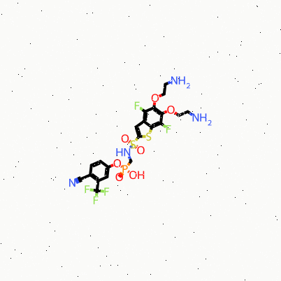 N#Cc1ccc(OP(=O)(O)CNS(=O)(=O)c2cc3c(F)c(OCCN)c(OCCN)c(F)c3s2)cc1C(F)(F)F